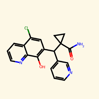 NC(=O)C1(C(c2cccnc2)c2cc(Cl)c3cccnc3c2O)CC1